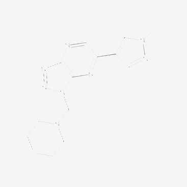 Cn1cc(-c2cnc3nnn(CN4CCOCC4)c3n2)cn1